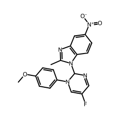 COc1ccc(N2C=C(F)C=NC2n2c(C)nc3cc([N+](=O)[O-])ccc32)cc1